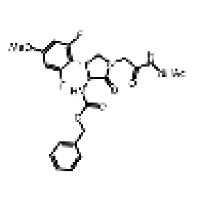 COc1cc(F)c([C@@H]2CN(CC(=O)NNC(C)=O)C(=O)[C@H]2NC(=O)OCc2ccccc2)c(F)c1